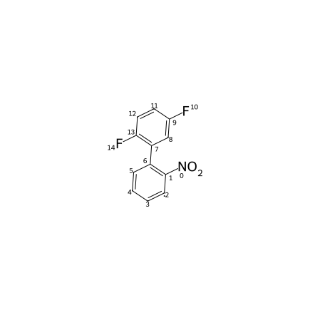 O=[N+]([O-])c1[c]cccc1-c1cc(F)ccc1F